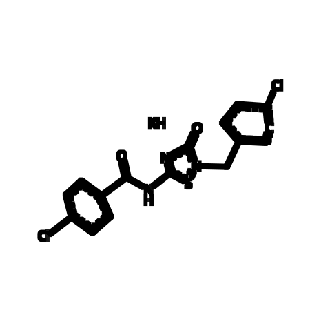 O=C(Nc1nc(=O)n(Cc2ccc(Cl)cc2)s1)c1ccc(Cl)cc1.[KH]